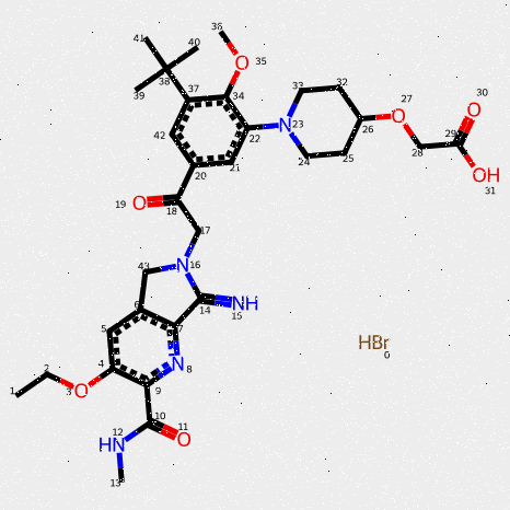 Br.CCOc1cc2c(nc1C(=O)NC)C(=N)N(CC(=O)c1cc(N3CCC(OCC(=O)O)CC3)c(OC)c(C(C)(C)C)c1)C2